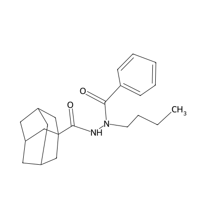 CCCCN(NC(=O)C12CC3CC(CC(C3)C1)C2)C(=O)c1ccccc1